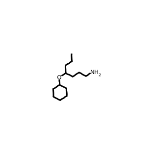 CCCC(CCCN)OC1CCCCC1